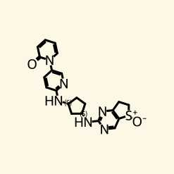 O=c1ccccn1-c1ccc(N[C@H]2CC[C@H](Nc3ncc4c(n3)CC[S+]4[O-])C2)nc1